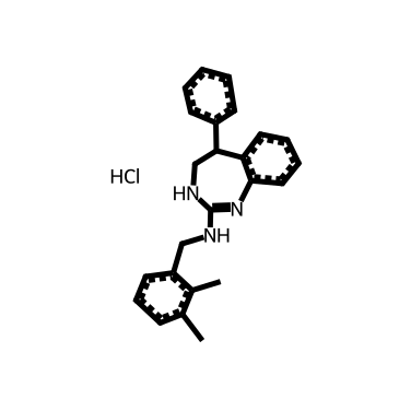 Cc1cccc(CNC2=Nc3ccccc3C(c3ccccc3)CN2)c1C.Cl